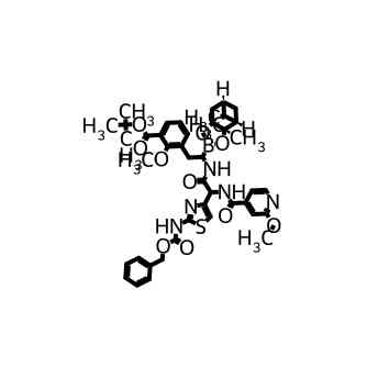 COc1cc(C(=O)NC(C(=O)NC(Cc2cccc(C(=O)OC(C)(C)C)c2OC)B2OC3C[C@H]4C[C@@H](C4(C)C)[C@]3(C)O2)c2csc(NC(=O)OCc3ccccc3)n2)ccn1